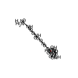 NC(=O)[C@@H](N)CCCCNCOCOCCOCCNC(=O)COCCOCCN=COCCCOCNCCC1(N(CC(=O)O)CC(=O)O)CN(CC(=O)O)[C@@H]2CCCC[C@H]2N(CC(=O)O)C1